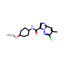 CCCCCOC1CCC(NC(=O)c2cnc3cc(C)c(Cl)nn23)CC1